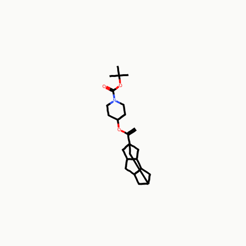 C=C(OC1CCN(C(=O)OC(C)(C)C)CC1)C12CC3CC4CC(C1)C(C2)C4C3